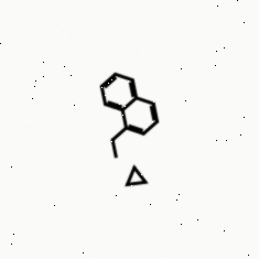 C1CC1.CCc1cccc2ccccc12